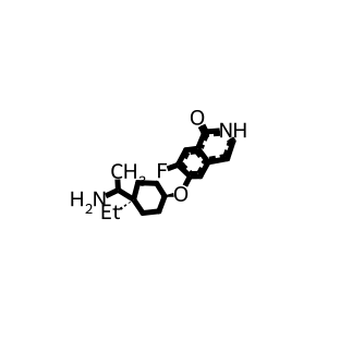 CC[C@]1(C(C)N)CC[C@@H](Oc2cc3cc[nH]c(=O)c3cc2F)CC1